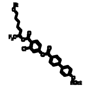 CCCCCCCCOc1ccc(-c2ccc(C(=O)Oc3ccc(C(=O)OC(CCCCCOCC)C(F)(F)F)c(Cl)c3)cc2)cc1